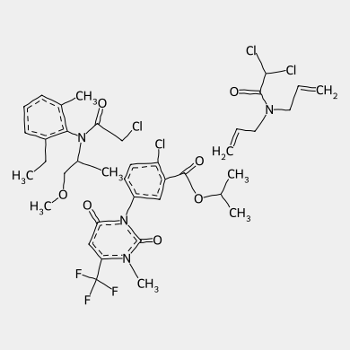 C=CCN(CC=C)C(=O)C(Cl)Cl.CC(C)OC(=O)c1cc(-n2c(=O)cc(C(F)(F)F)n(C)c2=O)ccc1Cl.CCc1cccc(C)c1N(C(=O)CCl)C(C)COC